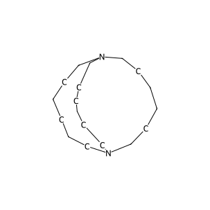 C1CCCN2CCCCCCN(CC1)CCCCCC2